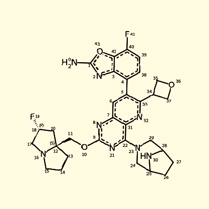 Nc1nc2c(-c3cc4nc(OC[C@@]56CCCN5C[C@H](F)C6)nc(N5CC6CCC(C5)N6)c4nc3C3COC3)ccc(F)c2o1